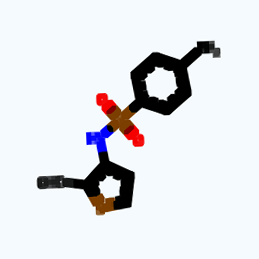 Bc1ccc(S(=O)(=O)Nc2ccsc2C=O)cc1